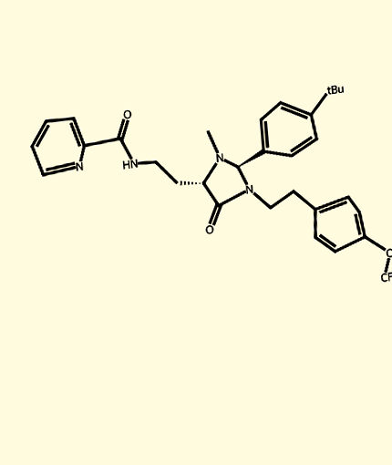 CN1[C@@H](CCNC(=O)c2ccccn2)C(=O)N(CCc2ccc(OC(F)(F)F)cc2)[C@@H]1c1ccc(C(C)(C)C)cc1